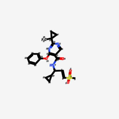 CS(=O)(=O)/C=C/C(NC(=O)c1cnc(C2(C(F)(F)F)CC2)nc1Oc1ccccc1)C1CC1